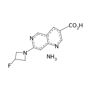 N.O=C(O)c1cnc2cc(N3CC(F)C3)ncc2c1